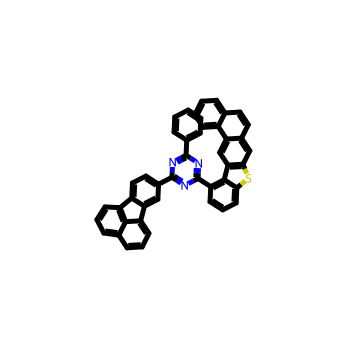 c1ccc(-c2nc(-c3ccc4c(c3)-c3cccc5cccc-4c35)nc(-c3cccc4sc5cc6ccc7ccccc7c6cc5c34)n2)cc1